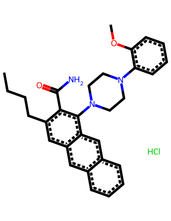 CCCCc1cc2cc3ccccc3cc2c(N2CCN(c3ccccc3OC)CC2)c1C(N)=O.Cl